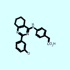 O=C(O)Cc1ccc(Nc2nc(-c3cccc(Cl)c3)nc3c2CCCC3)cc1